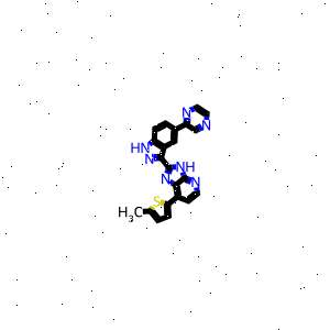 Cc1ccc(-c2ccnc3[nH]c(-c4n[nH]c5ccc(-c6cnccn6)cc45)nc23)s1